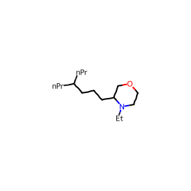 CCCC(CCC)CCCC1COCCN1CC